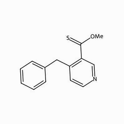 COC(=S)c1cnccc1Cc1ccccc1